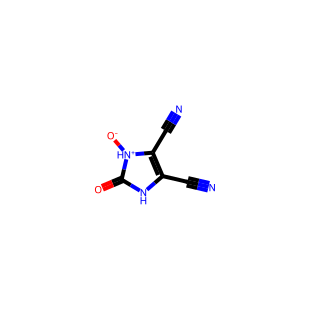 N#CC1=C(C#N)[NH+]([O-])C(=O)N1